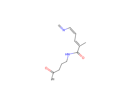 C=N/C=C\C=C(/C)C(=O)NCCCC(=O)C(C)C